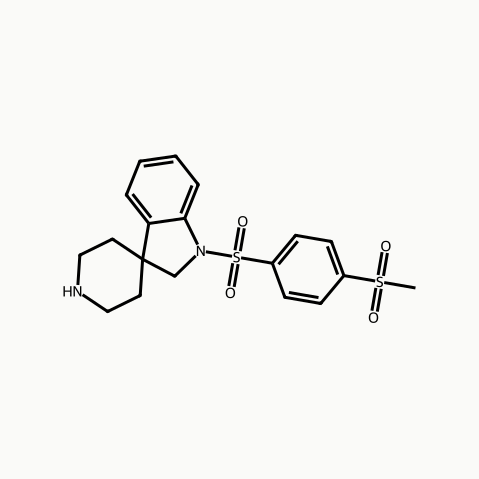 CS(=O)(=O)c1ccc(S(=O)(=O)N2CC3(CCNCC3)c3ccccc32)cc1